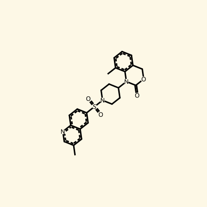 Cc1cnc2ccc(S(=O)(=O)N3CCC(N4C(=O)OCc5cccc(C)c54)CC3)cc2c1